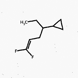 CCC(CC=C(F)F)C1CC1